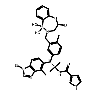 CCC1CN(Cc2cc([C@@H](c3ccc4c(nnn4CC)c3C)C(C)(C)NC(=O)c3cc[nH]n3)ccc2C)S(O)(O)c2ccccc2O1